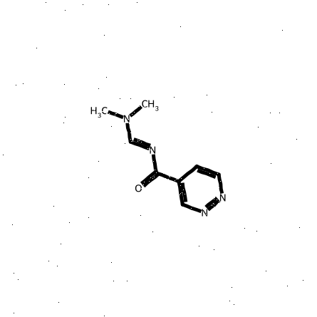 CN(C)C=NC(=O)c1ccnnc1